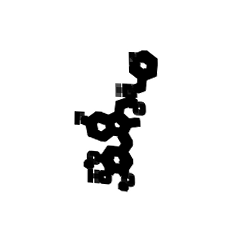 COc1cc(/C=C2/C(C)=C(CC(=O)NCc3cccnc3)C3=CC(F)=CCC32)cc(OC)c1O